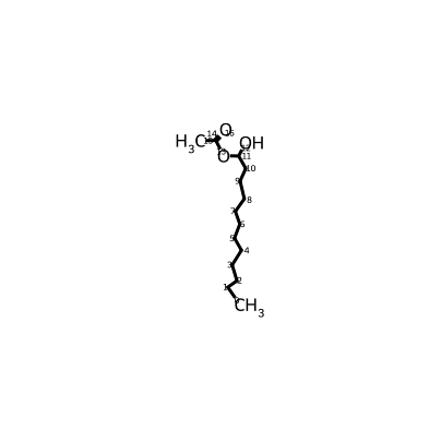 CCCCCCCCCCCC(O)OC(C)=O